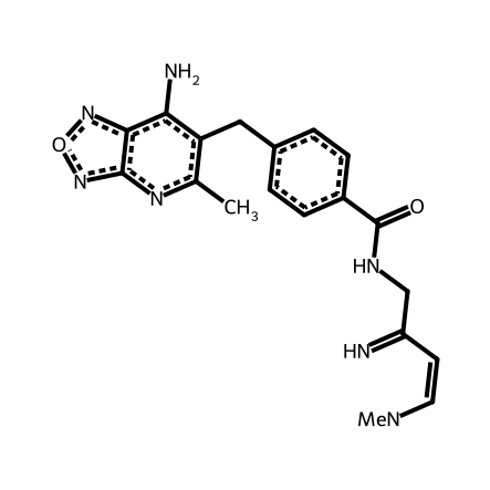 CN/C=C\C(=N)CNC(=O)c1ccc(Cc2c(C)nc3nonc3c2N)cc1